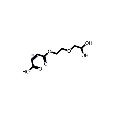 O=C(O)/C=C\C(=O)OCCOCC(O)O